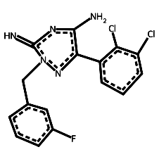 N=c1nc(N)c(-c2cccc(Cl)c2Cl)nn1Cc1cccc(F)c1